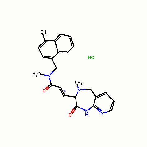 Cc1ccc(CN(C)C(=O)/C=C/C2C(=O)Nc3ncccc3CN2C)c2ccccc12.Cl